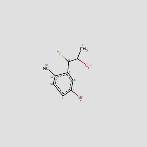 CC(O)C(F)c1cc(Br)ccc1C#N